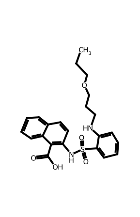 CCCOCCCNc1ccccc1S(=O)(=O)Nc1ccc2ccccc2c1C(=O)O